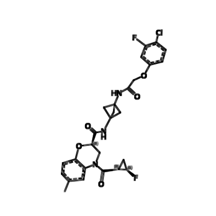 Cc1ccc2c(c1)N(C(=O)[C@H]1C[C@H]1F)C[C@H](C(=O)NC13CC(NC(=O)COc4ccc(Cl)c(F)c4)(C1)C3)O2